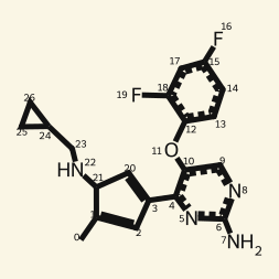 CC1=CC(c2nc(N)ncc2Oc2ccc(F)cc2F)=CC1NCC1CC1